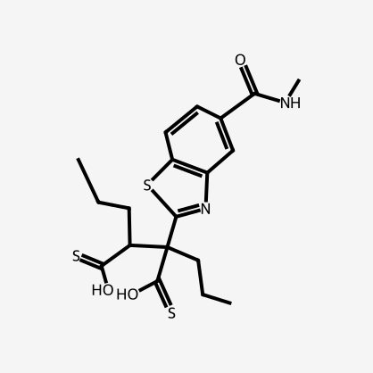 CCCC(C(O)=S)C(CCC)(C(O)=S)c1nc2cc(C(=O)NC)ccc2s1